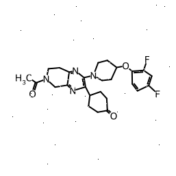 CC(=O)N1CCc2nc(N3CCC(Oc4ccc(F)cc4F)CC3)c(C3CCC(=O)CC3)nc2C1